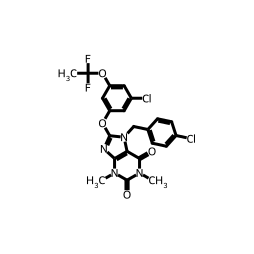 Cn1c(=O)c2c(nc(Oc3cc(Cl)cc(OC(C)(F)F)c3)n2Cc2ccc(Cl)cc2)n(C)c1=O